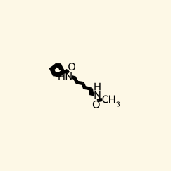 CC(=O)NC=CCCCCNC(=O)c1ccccc1